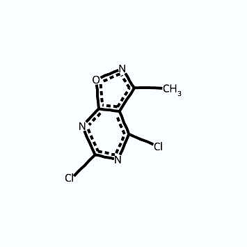 Cc1noc2nc(Cl)nc(Cl)c12